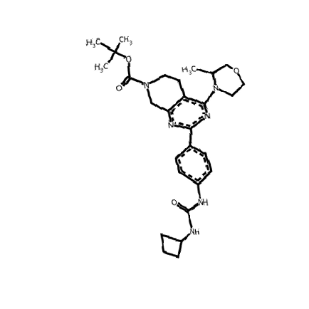 CC1COCCN1c1nc(-c2ccc(NC(=O)NC3CCC3)cc2)nc2c1CCN(C(=O)OC(C)(C)C)C2